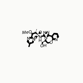 CO[C@H](c1ncc(C)cn1)[C@H](C)S(=O)(=O)Nc1nnc2n1[C@H](CO)COc1ncccc1-2